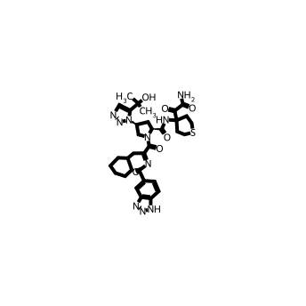 CC(C)(O)c1cnnn1[C@H]1C[C@@H](C(=O)NC2(C(=O)C(N)=O)CCSCC2)N(C(=O)/C(CC2CCCCC2)=N/C(=O)c2ccc3[nH]nnc3c2)C1